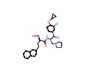 O=C(N[C@H](CN1CCCC1)[C@H](O)c1ccc(OC2CC2)c(Cl)c1)/C(CCc1ccc2ccccc2c1)=N/O